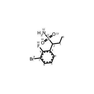 CCC(c1cccc(Br)c1F)S(N)(=O)=O